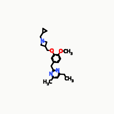 CCc1cc(C)nc(Cc2ccc(OC)c(OCC3CN(CC4CC4)C3)c2)n1